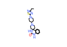 CCc1nsc(N2CCC(N3CCC4(CC3)NC(=O)Nc3ccccc34)CC2)n1